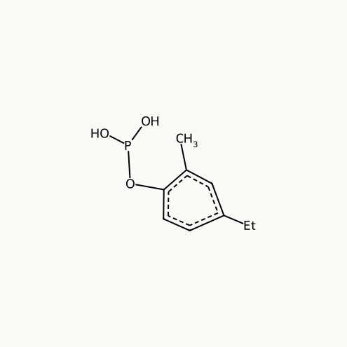 CCc1ccc(OP(O)O)c(C)c1